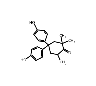 CC1CC(c2ccc(O)cc2)(c2ccc(O)cc2)CC(C)(C)C1=O